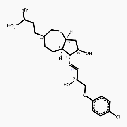 CCCC(CC[C@@H]1CC[C@@H]2[C@@H](/C=C/[C@@H](O)COc3ccc(Cl)cc3)[C@H](O)C[C@@H]2OC1)C(=O)O